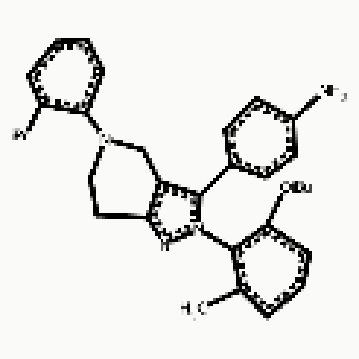 Cc1cccc(OCC(C)C)c1-n1nc2c(c1-c1ccc(N)cc1)CN(c1ccccc1C(C)C)CC2